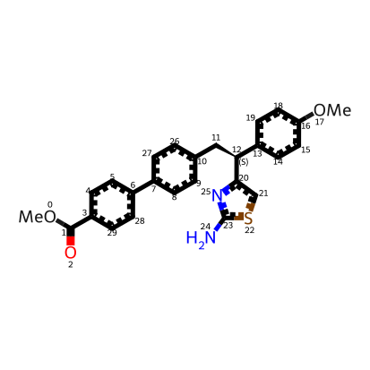 COC(=O)c1ccc(-c2ccc(C[C@@H](c3ccc(OC)cc3)c3csc(N)n3)cc2)cc1